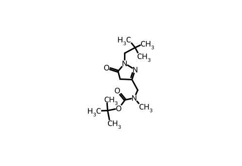 CN(CC1=NN(CC(C)(C)C)C(=O)C1)C(=O)OC(C)(C)C